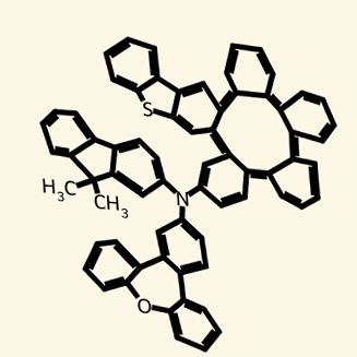 CC1(C)c2ccccc2-c2ccc(N(c3ccc4c(c3)-c3ccccc3Oc3ccccc3-4)c3ccc4c5ccccc5c5ccccc5c5ccccc5c5cc6c(cc5c4c3)sc3ccccc36)cc21